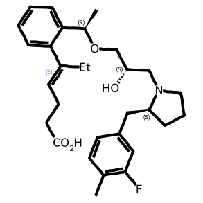 CC/C(=C\CCC(=O)O)c1ccccc1[C@@H](C)OC[C@@H](O)CN1CCC[C@H]1Cc1ccc(C)c(F)c1